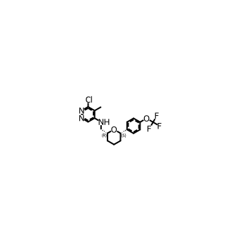 Cc1c(NC[C@H]2CCC[C@@H](c3ccc(OC(F)(F)F)cc3)O2)cnnc1Cl